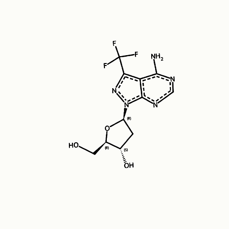 Nc1ncnc2c1c(C(F)(F)F)nn2[C@H]1C[C@H](O)[C@@H](CO)O1